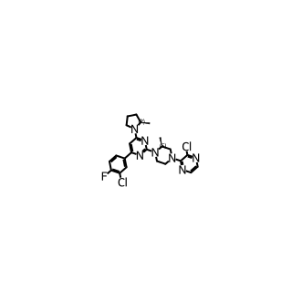 C[C@@H]1CCCN1c1cc(-c2ccc(F)c(Cl)c2)nc(N2CCN(c3nccnc3Cl)C[C@@H]2C)n1